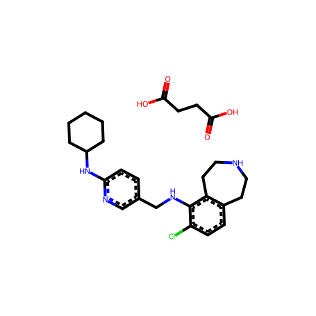 Clc1ccc2c(c1NCc1ccc(NC3CCCCC3)nc1)CCNCC2.O=C(O)CCC(=O)O